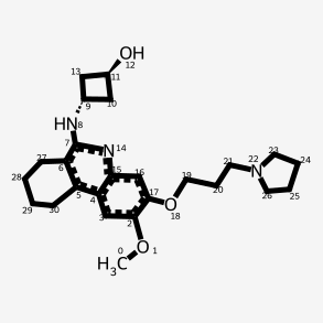 COc1cc2c3c(c(N[C@H]4C[C@H](O)C4)nc2cc1OCCCN1CCCC1)CCCC3